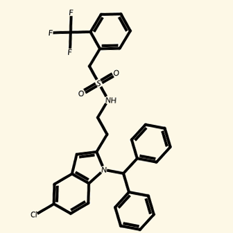 O=S(=O)(Cc1ccccc1C(F)(F)F)NCCc1cc2cc(Cl)ccc2n1C(c1ccccc1)c1ccccc1